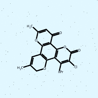 CCCc1c(Cl)c(=O)oc2c1c1c(c3oc(C)cc(=O)c32)[C]=C(C)CO1